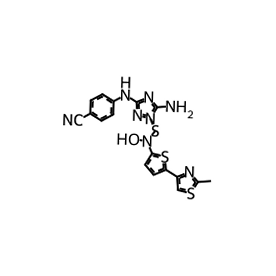 Cc1nc(-c2ccc(N(O)Sn3nc(Nc4ccc(C#N)cc4)nc3N)s2)cs1